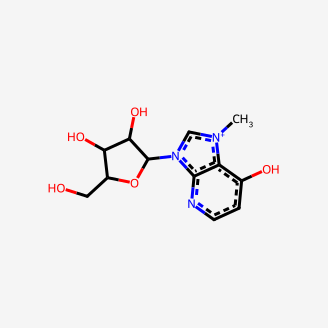 C[n+]1cn(C2OC(CO)C(O)C2O)c2nccc(O)c21